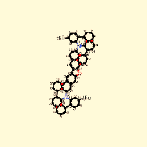 CC(C)(C)c1ccc(-c2ccccc2)c(N(c2ccc3cc4c(cc3c2)oc2cc3cc(N(c5ccccc5-c5ccccc5)c5cc(C(C)(C)C)ccc5-c5ccccc5)ccc3cc24)c2ccccc2-c2ccccc2)c1